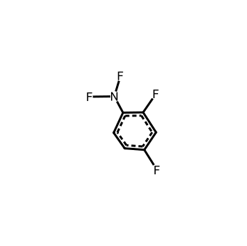 Fc1ccc(N(F)F)c(F)c1